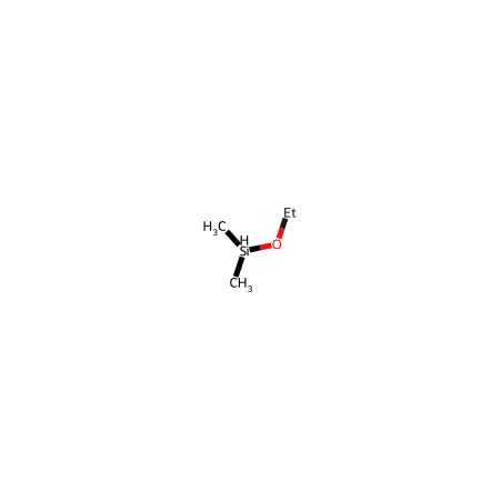 [CH2]CO[SiH](C)C